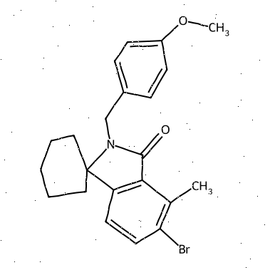 COc1ccc(CN2C(=O)c3c(ccc(Br)c3C)C23CCCCC3)cc1